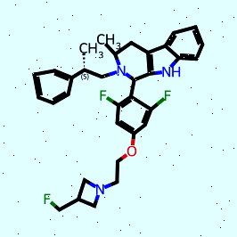 CC1Cc2c([nH]c3ccccc23)C(c2c(F)cc(OCCN3CC(CF)C3)cc2F)N1C[C@@H](C)c1ccccc1